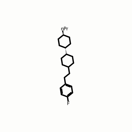 CCC[C@H]1CC[C@H](C2CCC(CCc3ccc(F)cc3)CC2)CC1